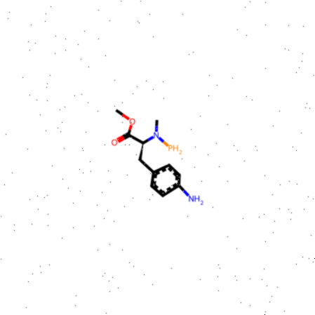 COC(=O)[C@H](Cc1ccc(N)cc1)N(C)P